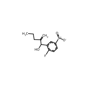 C=C(CCC)C(O)c1cc([N+](=O)[O-])ccc1F